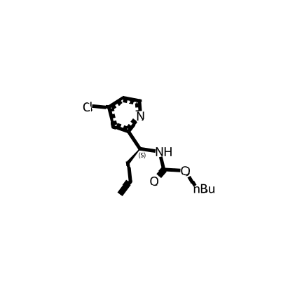 C=CC[C@H](NC(=O)OCCCC)c1cc(Cl)ccn1